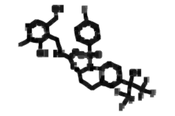 Cc1ncc(CO)c(CNC(=O)C[C@@H]2CCc3cc(C(O)(C(F)(F)F)C(F)(F)F)ccc3N2S(=O)(=O)c2ccc(F)cc2)c1O